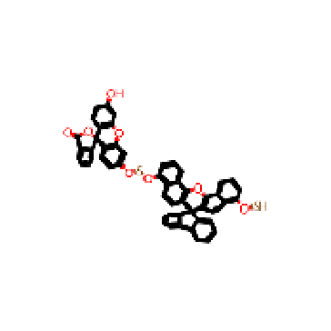 O=C1OC2(c3ccc(O)cc3Oc3cc(OSOc4cccc5c6c(ccc45)C4(c5ccccc5-c5ccccc54)c4ccc5c(OS)cccc5c4O6)ccc32)c2ccccc21